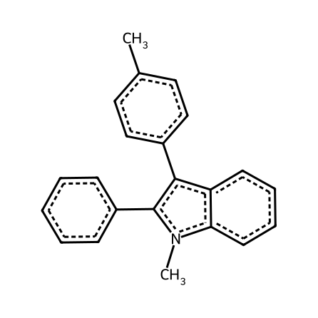 Cc1ccc(-c2c(-c3ccccc3)n(C)c3ccccc23)cc1